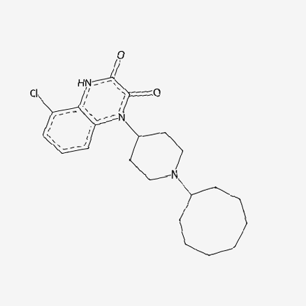 O=c1[nH]c2c(Cl)cccc2n(C2CCN(C3CCCCCCC3)CC2)c1=O